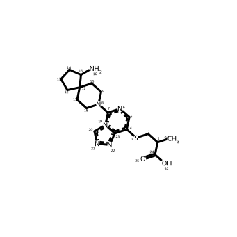 CC(CSc1cnc(N2CCC3(CCCC3N)CC2)n2cnnc12)C(=O)O